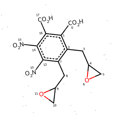 O=C(O)c1c(CC2CO2)c(CC2CO2)c([N+](=O)[O-])c([N+](=O)[O-])c1C(=O)O